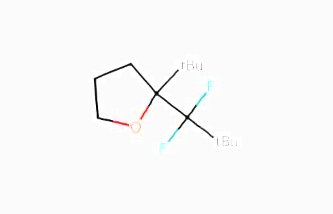 CC(C)(C)C(F)(F)C1(C(C)(C)C)CCCO1